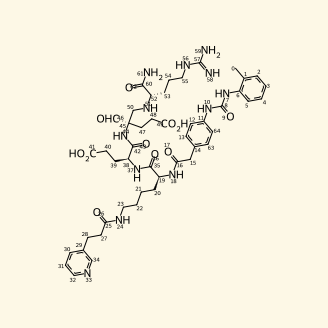 Cc1ccccc1NC(=O)Nc1ccc(CC(=O)N[C@@H](CCCCNC(=O)CCc2cccnc2)C(=O)N[C@@H](CCC(=O)O)C(=O)N[C@](C=O)(CCC(=O)O)CN[C@@H](CCCNC(=N)N)C(N)=O)cc1